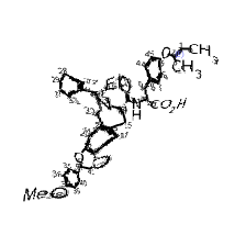 C/C=C(\C)Oc1ccc(C[C@H](NC(=O)[C@@H]2Cc3cc4c(cc3CN2[C@@H](CC)c2ccccc2)O[C@@H](c2ccc(OC)cc2)CO4)C(=O)O)cc1